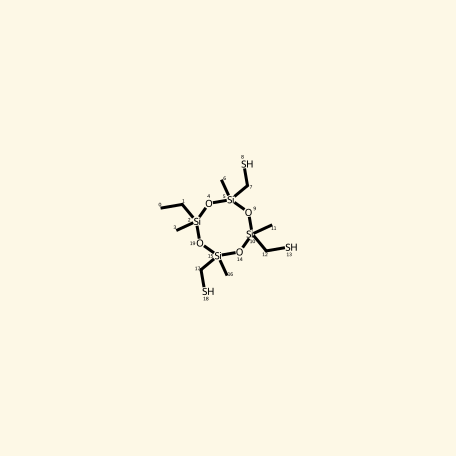 CC[Si]1(C)O[Si](C)(CS)O[Si](C)(CS)O[Si](C)(CS)O1